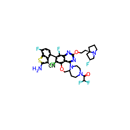 N#Cc1c(N)sc2c(F)ccc(-c3c(Cl)c4c5c(nc(OCC[C@@]67CCCN6C[C@H](F)C7)nc5c3F)N3CCN(C(=O)C(F)F)CCC3CO4)c12